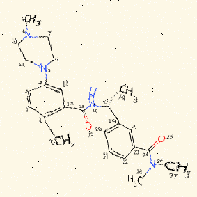 Cc1ccc(N2CCN(C)CC2)cc1C(=O)N[C@H](C)c1cccc(C(=O)N(C)C)c1